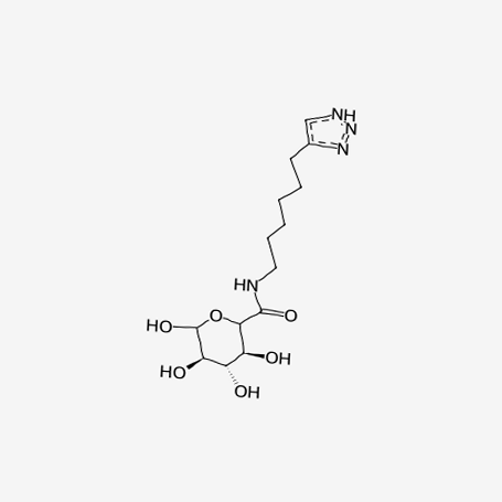 O=C(NCCCCCCc1c[nH]nn1)C1OC(O)[C@H](O)[C@@H](O)[C@@H]1O